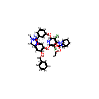 CCOC(=O)C1C2CCC1N(c1c(F)c(Oc3cccc(C4=NCCN4C)c3)nc(Oc3cc(C#N)ccc3OCc3ccccc3)c1F)C2